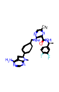 C[C@H](NC(=O)c1nc(C#N)cnc1NCC1CCC(c2cc3c(N)ncnc3n2C)CC1)c1ccc(F)c(F)c1